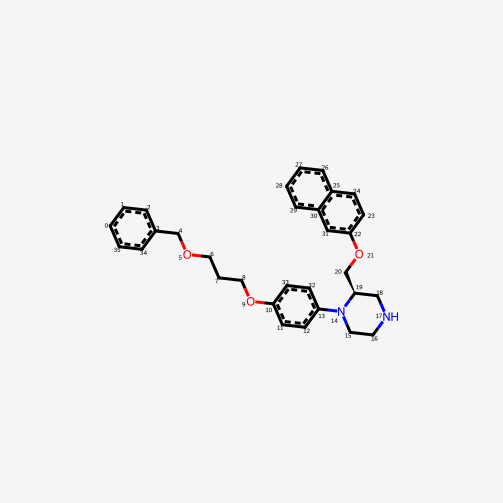 c1ccc(COCCCOc2ccc(N3CCNC[C@@H]3COc3ccc4ccccc4c3)cc2)cc1